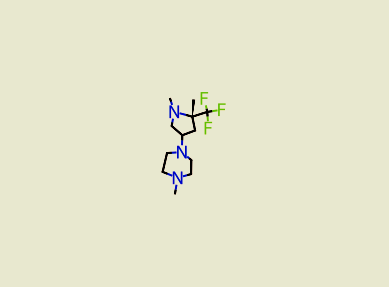 CN1CCN(C2CN(C)[C@](C)(C(F)(F)F)C2)CC1